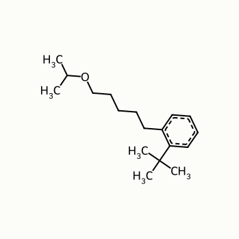 CC(C)OCCCCCc1ccccc1C(C)(C)C